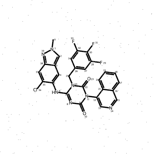 Cn1cc2cc(Nc3nc(=O)n(-c4cncc5ccccc45)c(=O)n3Cc3cc(F)c(F)c(F)c3)c(Cl)cc2n1